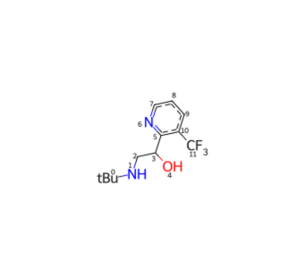 CC(C)(C)NCC(O)c1ncccc1C(F)(F)F